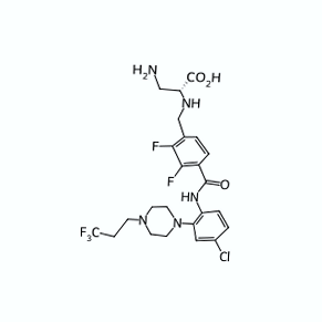 NC[C@@H](NCc1ccc(C(=O)Nc2ccc(Cl)cc2N2CCN(CCC(F)(F)F)CC2)c(F)c1F)C(=O)O